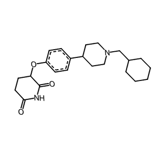 O=C1CCC(Oc2ccc(C3CCN(CC4CCCCC4)CC3)cc2)C(=O)N1